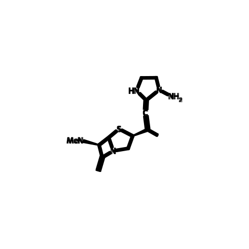 C=C1[C@@H](NC)C2S[C@@H](C(C)=C=C3NCCN3N)CN12